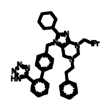 CC(C)CN1CN(CCc2ccccc2)Cc2c1nc(C1CCCCC1)n2Cc1ccc(-c2ccccc2-c2nnn[nH]2)cc1